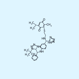 CC1=C(SCCNC(c2ccc(NC(c3ccccc3)C3NN=NN3C(C)(C)C)cc2)c2nnn[nH]2)C(=O)C(C(C)C)=CC1=O